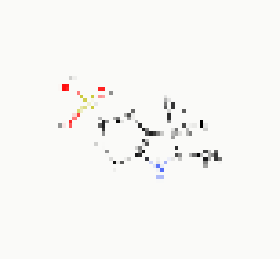 CC1NC2=C(C=C(S(=O)(=O)O)CC2)C1(C)C